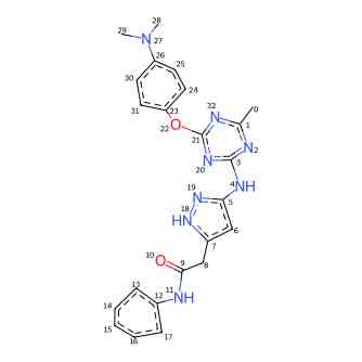 Cc1nc(Nc2cc(CC(=O)Nc3ccccc3)[nH]n2)nc(Oc2ccc(N(C)C)cc2)n1